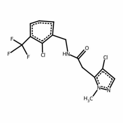 Cn1ncc(Cl)c1CC(=O)NCc1cccc(C(F)(F)F)c1Cl